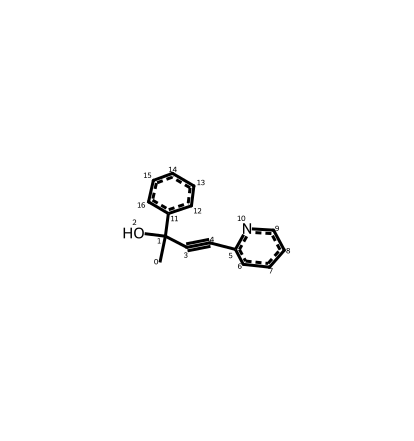 CC(O)(C#Cc1ccccn1)c1ccccc1